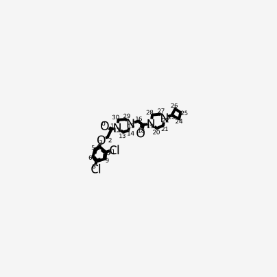 O=C(COc1ccc(Cl)cc1Cl)N1CCN(CC(=O)N2CCN(C3CCC3)CC2)CC1